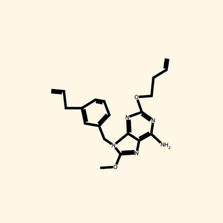 C=CCCOc1nc(N)c2nc(OC)n(Cc3cccc(CC=C)c3)c2n1